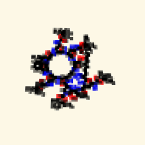 CCCCCCCC[C@H](N)C(=O)N[C@@H](CCNC(=O)OC(C)(C)C)C(=O)N[C@H](C(=O)N[C@@H](CNC(=O)OC(C)(C)C)C(=O)N[C@H]1CCNC(=O)[C@H]([C@@H](C)O)NC(=O)[C@H](CCNC(=O)OC(C)(C)C)NC(=O)[C@H](CCNC(=O)OC(C)(C)C)NC(=O)[C@H](CC(C)C)NC(=O)[C@@H](Cc2ccccc2)NC(=O)[C@H](CCNC(=O)OC(C)(C)C)NC1=O)[C@@H](C)O